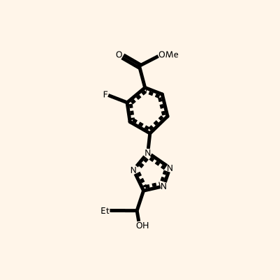 CCC(O)c1nnn(-c2ccc(C(=O)OC)c(F)c2)n1